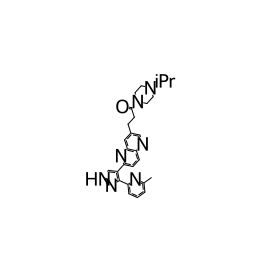 Cc1cccc(-c2n[nH]cc2-c2ccc3ncc(CCC(=O)N4CCN(C(C)C)CC4)cc3n2)n1